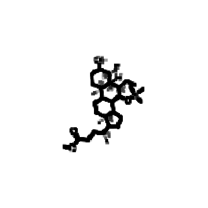 CC[C@H]1C(O[Si](C)(C)C)C2C3CCC([C@H](C)CCC(=O)OC)[C@@]3(C)CCC2[C@@]2(C)CCC(O)[C@H](F)[C@@H]12